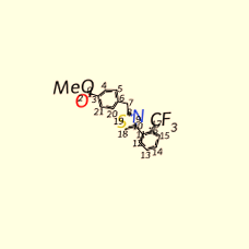 COC(=O)c1ccc(Cc2nc(-c3ccccc3C(F)(F)F)cs2)cc1